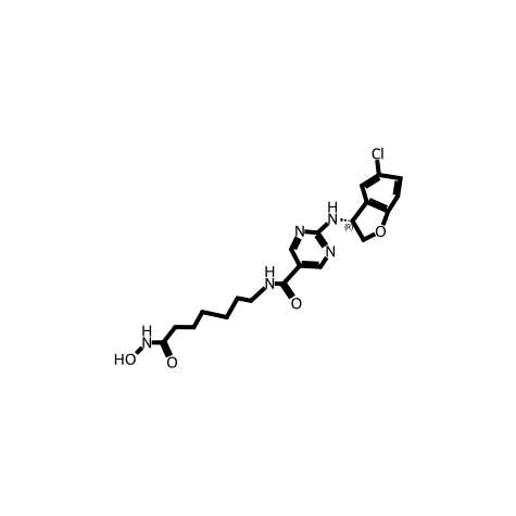 O=C(CCCCCCNC(=O)c1cnc(N[C@H]2COc3ccc(Cl)cc32)nc1)NO